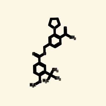 COc1ccc(C(=O)OCc2ccc(C(N)=O)c(N3CCCC3)c2)cc1C(C)(C)C